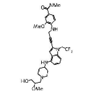 CNC(=O)c1ccc(NCC#Cc2cc3c(NC4CCN(C[C@H](CO)OC)CC4)cccc3n2CC(F)(F)F)c(OC)c1